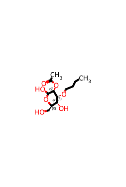 CCCCO[C@@H]1[C@H](O)[C@@H](CO)OC(O)[C@H]1OC(C)=O